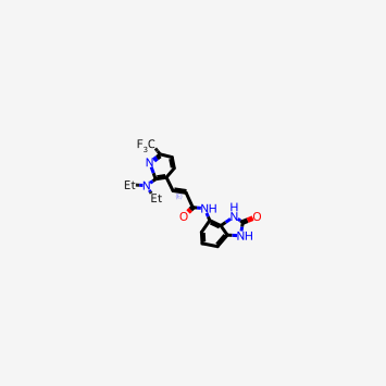 CCN(CC)c1nc(C(F)(F)F)ccc1/C=C/C(=O)Nc1cccc2[nH]c(=O)[nH]c12